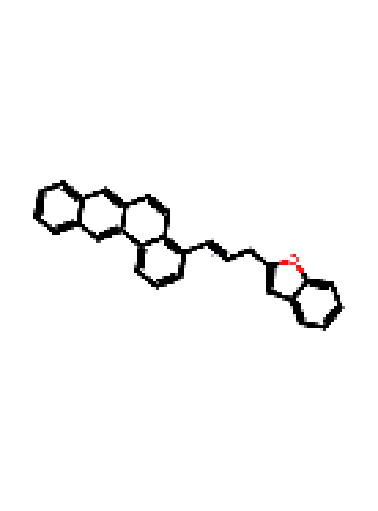 C(=C\c1cccc2c1ccc1cc3ccccc3cc12)/Cc1cc2ccccc2o1